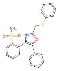 NS(=O)(=O)c1ccccc1-c1nc(CSc2ccccc2)oc1-c1ccccc1